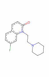 O=c1ccc2ccc(F)cc2n1CCN1CCCCC1